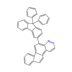 c1ccc(C2(c3ccccc3)c3ccccc3-c3cc(-c4cc5c6ccccc6ccc5c5cccnc45)ccc32)cc1